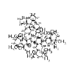 Cc1cc2c3c(c1)N(c1ccc4c(c1)C(c1ccccc1)(c1ccccc1)c1ccccc1-4)c1c(oc4cc5c(cc14)C(C)(C)CCC5(C)C)B3c1cc3c(cc1N2c1ccc2c(c1)C(C)(C)CCC2(C)C)C(C)(C)CCC3(C)C